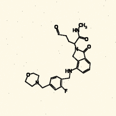 CNC(=O)C(CCC=O)N1Cc2c(NCc3ccc(CN4CCOCC4)cc3F)cccc2C1=O